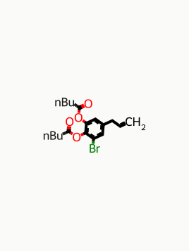 C=CCc1cc(Br)c(OC(=O)CCCC)c(OC(=O)CCCC)c1